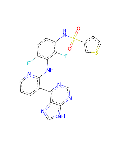 O=S(=O)(Nc1ccc(F)c(Nc2ncccc2-c2ncnc3[nH]cnc23)c1F)c1ccsc1